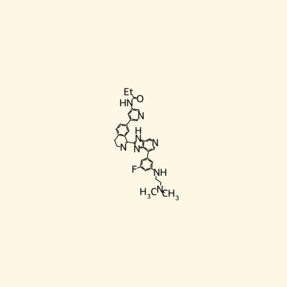 CCC(=O)Nc1cncc(-c2ccc3c(c2)C(c2nc4c(-c5cc(F)cc(NCCN(C)C)c5)cncc4[nH]2)=NCC3)c1